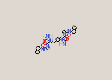 CN[C@@H](C)C(=O)N[C@@H](CCCc1ccc(C[C@H](NC(=O)[C@H](C)NC)C(=O)N2CCC[C@H]2C(=O)N[C@@H]2CCCc3ccccc32)cc1)C(=O)N1CCC[C@H]1C(=O)N[C@@H]1CCCc2ccccc21